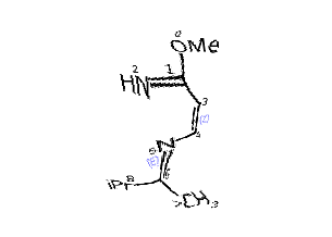 COC(=N)/C=C\N=C(/C)C(C)C